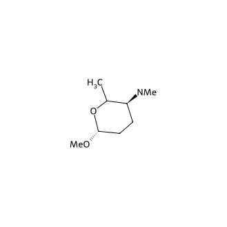 CN[C@H]1CC[C@H](OC)OC1C